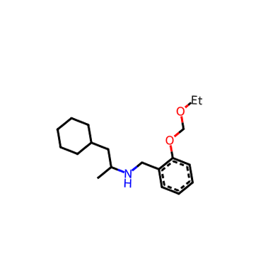 CCOCOc1ccccc1CNC(C)CC1CCCCC1